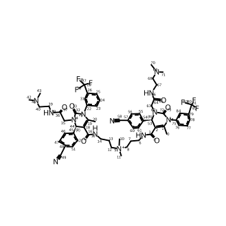 CC1=C(C(=O)NCCC[N+](C)(C)CCCNC(=O)C2=C(C)N(c3cccc(C(F)(F)F)c3)C(=O)N(CC(=O)NCCN(C)C)[C@@H]2c2ccc(C#N)cc2)[C@@H](c2ccc(C#N)cc2)N(CC(=O)NCCN(C)C)C(=O)N1c1cccc(C(F)(F)F)c1